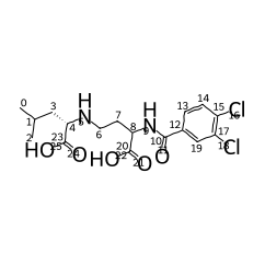 CC(C)C[C@H](NCCC(NC(=O)c1ccc(Cl)c(Cl)c1)C(=O)O)C(=O)O